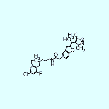 Cc1noc(C)c1C(O)c1cc2cc(CC(=O)NCCCC(C)Cc3c(F)cc(Cl)cc3F)ccc2o1